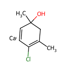 CC1=C(Cl)C=CC(C)(O)C1.[Ca]